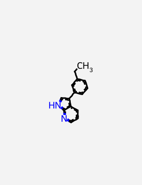 CCc1cccc(-c2c[nH]c3ncccc23)c1